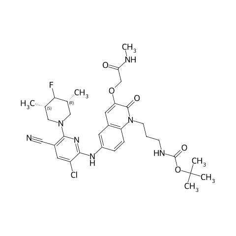 CNC(=O)COc1cc2cc(Nc3nc(N4C[C@@H](C)C(F)[C@@H](C)C4)c(C#N)cc3Cl)ccc2n(CCCNC(=O)OC(C)(C)C)c1=O